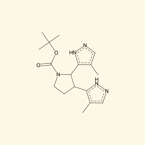 Cc1cn[nH]c1C1CCN(C(=O)OC(C)(C)C)C1c1[nH]ncc1C